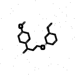 CC[C@H]1CCC[C@H](OCCC(C)C2CCC(OC)CC2)C1